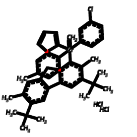 Cl.Cl.[CH2]=[Zr]([C]1=CC=CC1)([c]1ccc(C)cc1)([c]1cccc(Cl)c1)[c]1c(C)c(C(C)(C)C)cc2c1Cc1cc(C)c(C(C)(C)C)cc1-2